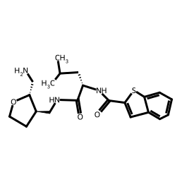 CC(C)C[C@H](NC(=O)c1cc2ccccc2s1)C(=O)NC[C@H]1CCO[C@@H]1CN